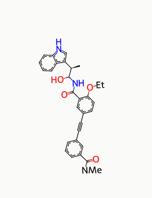 CCOc1ccc(C#Cc2cccc(C(=O)NC)c2)cc1C(=O)NC(O)[C@H](C)c1c[nH]c2ccccc12